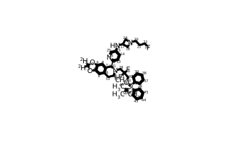 [2H]C1([2H])Oc2cc3c(cc2O1)[C@@H](c1ccc(NC2CN(CCCF)C2)cn1)N(CC(F)(F)CO[Si](c1ccccc1)(c1ccccc1)C(C)(C)C)[C@H](C)C3